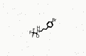 O=C(NCCCc1ccc(Br)cc1)C(F)(F)F